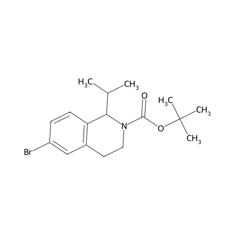 CC(C)C1c2ccc(Br)cc2CCN1C(=O)OC(C)(C)C